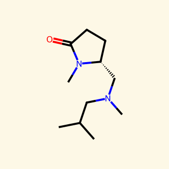 CC(C)CN(C)C[C@H]1CCC(=O)N1C